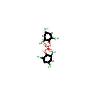 O=S(=O)(Oc1c(F)cc(F)cc1F)Oc1c(F)cc(F)cc1F